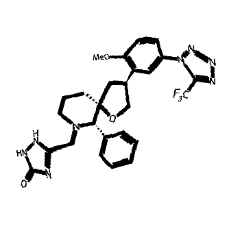 COc1ccc(-n2nnnc2C(F)(F)F)cc1[C@H]1CO[C@]2(CCCN(Cc3nc(=O)[nH][nH]3)[C@H]2c2ccccc2)C1